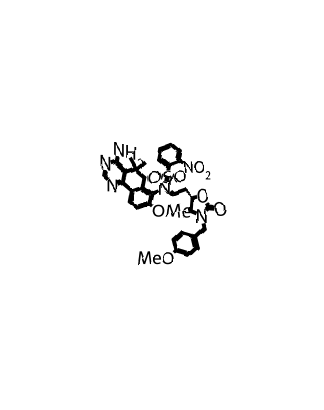 COc1ccc(CN2C[C@@H](CCN(c3c(OC)ccc4c3CC(C)(C)c3c(N)ncnc3-4)S(=O)(=O)c3ccccc3[N+](=O)[O-])OC2=O)cc1